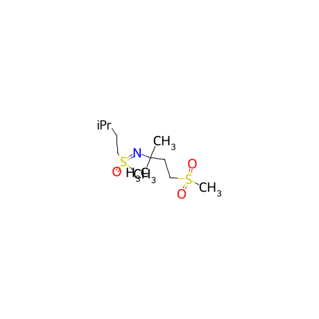 CC(C)CCS(C)(=O)=NC(C)(C)CCS(C)(=O)=O